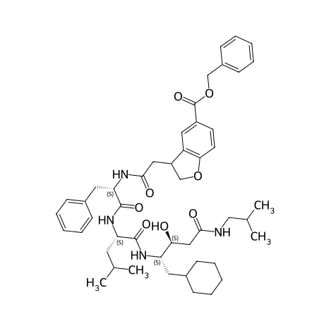 CC(C)CNC(=O)C[C@H](O)[C@H](CC1CCCCC1)NC(=O)[C@H](CC(C)C)NC(=O)[C@H](Cc1ccccc1)NC(=O)CC1COc2ccc(C(=O)OCc3ccccc3)cc21